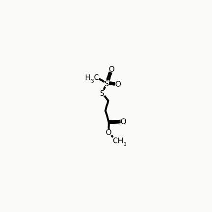 COC(=O)CCSS(C)(=O)=O